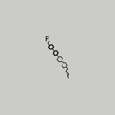 CC=CCC[C@H]1CC[C@H]([C@H]2CC[C@H](c3ccc(-c4ccc(CCF)cc4)cc3)CC2)CC1